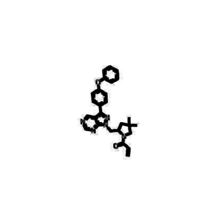 C=CC(=O)N1CC(C)(C)CC1Cn1nc(-c2ccc(Oc3ccccc3)cc2)c2cncnc21